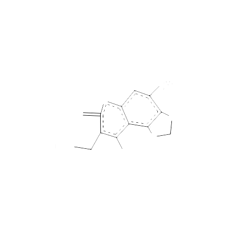 CCOC(=O)Cc1c(C)c2c3c(c(OC)cc2oc1=O)OCO3